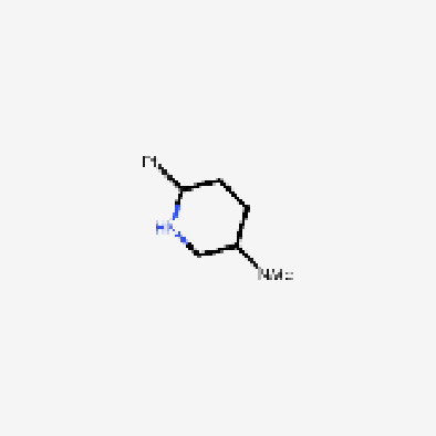 CCC1CCC(NC)CN1